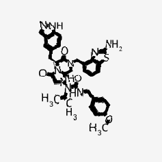 COC1C=CC(CNC(=O)N(C(C)C)N2CC(=O)N3[C@@H](Cc4ccc5[nH]ncc5c4)C(=O)N(Cc4cccc5sc(N)nc45)C[C@@H]32)=CC1